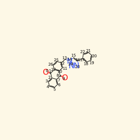 O=C1c2ccccc2C(=O)c2cc(Cn3cc(-c4ccccc4)nn3)ccc21